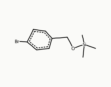 C[Si](C)(C)OCc1ccc(Br)cc1